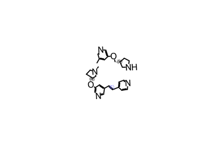 CN1CC[C@@H](Oc2cncc(/C=C/c3ccncc3)c2)C1.Cc1cncc(OC[C@@H]2CCNC2)c1